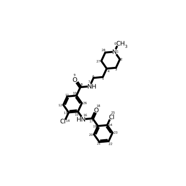 CN1CCC(CCNC(=O)c2ccc(Cl)c(NC(=O)c3ccccc3Cl)c2)CC1